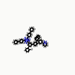 Cc1ccccc1-c1cc(-c2ccc3c(c2)C2(c4ccc(-c5ccccn5)cc4-3)C3CC4CC(C3)CC2C4)cc(-c2nc(-c3ccc(-c4ccccc4)cc3)nc(-c3ccc(-c4ccccc4)cc3)n2)c1